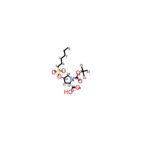 CCCCCCS(=O)(=O)O[C@@H]1C[C@@H](C(=O)O)N(C(=O)OC(C)(C)C)C1